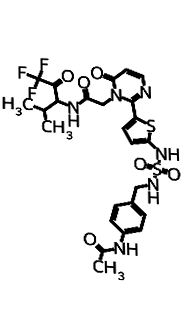 CC(=O)Nc1ccc(CNS(=O)(=O)Nc2ccc(-c3nccc(=O)n3CC(=O)NC(C(=O)C(F)(F)F)C(C)C)s2)cc1